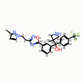 Cc1ccn(CCc2noc(-c3cccc([C@@](O)(c4ccc(C(F)(F)F)cc4)C4(C)CNC4)c3)n2)n1